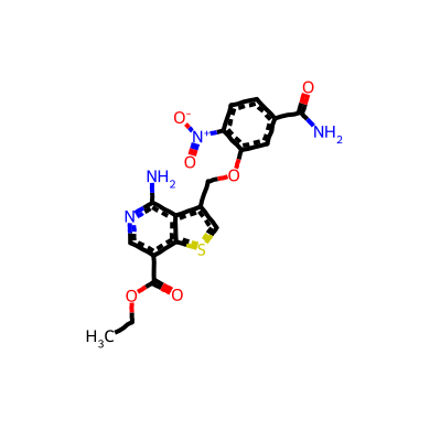 CCOC(=O)c1cnc(N)c2c(COc3cc(C(N)=O)ccc3[N+](=O)[O-])csc12